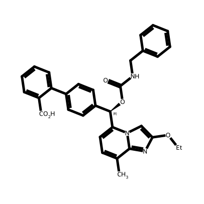 CCOc1cn2c([C@H](OC(=O)NCc3ccccc3)c3ccc(-c4ccccc4C(=O)O)cc3)ccc(C)c2n1